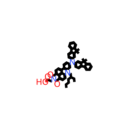 CCCCC(CC)Cn1c2cc(N(c3ccc4c(c3)C(C)(C)c3ccccc3-4)c3ccc4c(c3)C(C)(C)c3ccccc3-4)ccc2c2ccc3c(=O)n(CC(=O)O)c(=O)c4ccc1c2c34